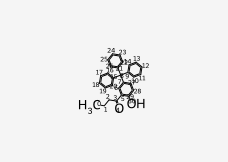 CCCC(=O)c1cc(C(c2ccccc2)(c2ccccc2)c2ccccc2)ccc1O